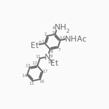 CCc1cc(N)c(NC(C)=O)cc1N(CC)Cc1ccccc1